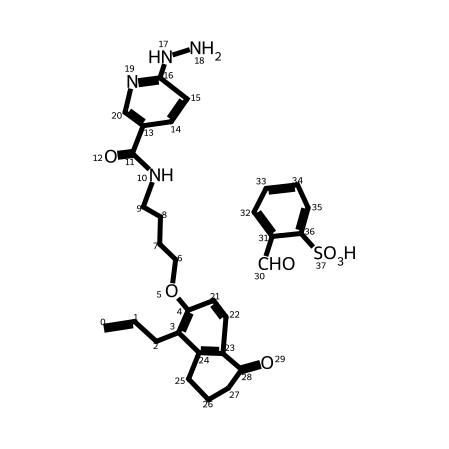 C=CCc1c(OCCCCNC(=O)c2ccc(NN)nc2)ccc2c1CCCC2=O.O=Cc1ccccc1S(=O)(=O)O